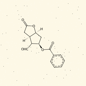 O=CC1[C@H]2CC(=O)O[C@H]2C[C@H]1OC(=O)c1ccccc1